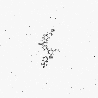 Cc1cc(Nc2nccc(C(F)(F)F)n2)cc(-c2cnc(C3(O)CC4CC(CC(=O)O)CC4C3)s2)c1